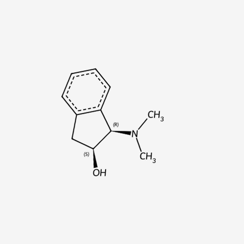 CN(C)[C@@H]1c2ccccc2C[C@@H]1O